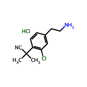 CC(C)(C#N)c1ccc(CCN)cc1Cl.Cl